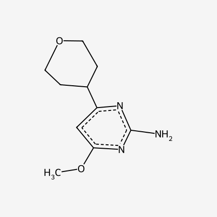 COc1cc(C2CCOCC2)nc(N)n1